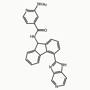 CC(=O)Nc1cc(C(=O)NC2c3ccccc3-c3c(-c4nc5cnccc5[nH]4)cccc32)ccn1